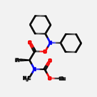 CC(C)[C@@H](C(=O)ON(C1CCCCC1)C1CCCCC1)N(C)C(=O)OC(C)(C)C